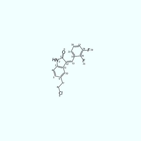 O=C1Nc2ccc(CCCl)cc2C1=Cc1cccc(F)c1F